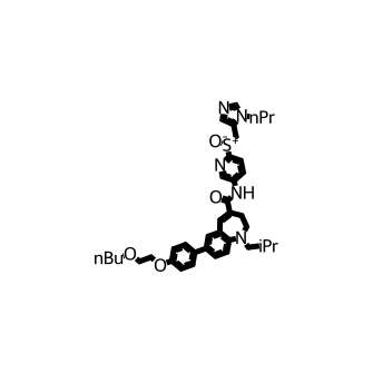 CCCCOCCOc1ccc(-c2ccc3c(c2)C=C(C(=O)Nc2ccc([S+]([O-])Cc4cncn4CCC)nc2)CCN3CC(C)C)cc1